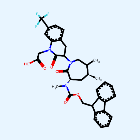 CC1CN(C2Cc3ccc(C(F)(F)F)cc3N(CC(=O)O)C2=O)C(=O)[C@@H](N(C)C(=O)OCC2c3ccccc3-c3ccccc32)C[C@@H]1C